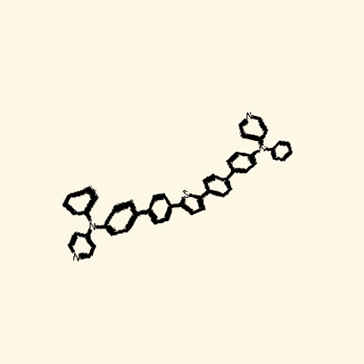 c1ccc(N(c2ccncc2)c2ccc(-c3ccc(-c4ccc(-c5ccc(-c6ccc(N(c7ccccc7)c7ccncc7)cc6)cc5)s4)cc3)cc2)cc1